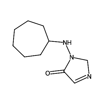 O=C1C=NCN1NC1CCCCCC1